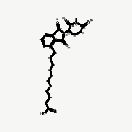 O=C(O)CCCCCCCCCCc1cccc2c1C(=O)N(C1CCC(=O)NC1=O)C2=O